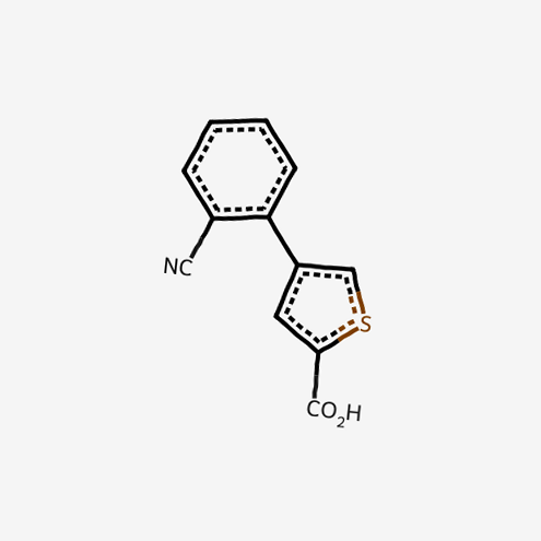 N#Cc1ccccc1-c1csc(C(=O)O)c1